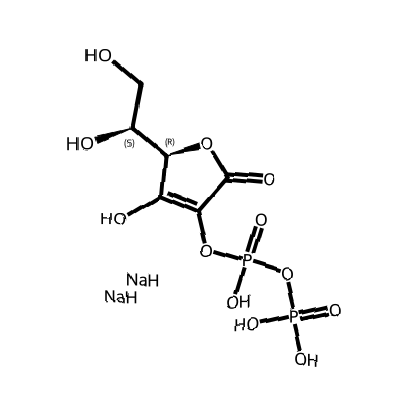 O=C1O[C@H]([C@@H](O)CO)C(O)=C1OP(=O)(O)OP(=O)(O)O.[NaH].[NaH]